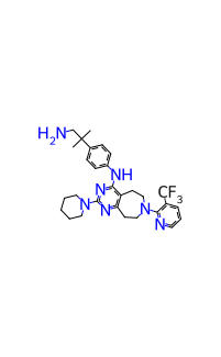 CC(C)(CN)c1ccc(Nc2nc(N3CCCCC3)nc3c2CCN(c2ncccc2C(F)(F)F)CC3)cc1